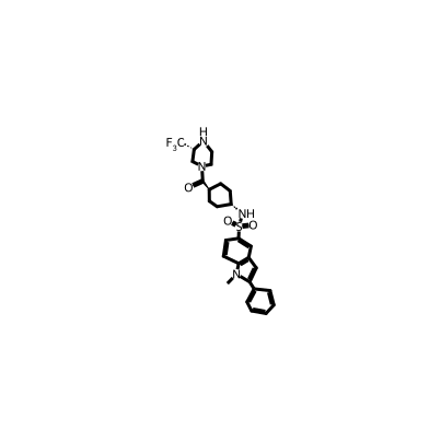 Cn1c(-c2ccccc2)cc2cc(S(=O)(=O)N[C@H]3CC[C@H](C(=O)N4CCN[C@@H](C(F)(F)F)C4)CC3)ccc21